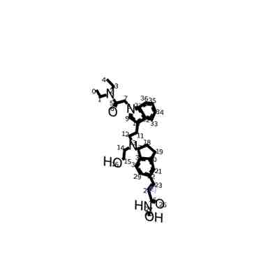 CCN(CC)C(=O)Cn1cc(CCN(CCO)C2CCc3cc(/C=C/C(=O)NO)ccc32)c2ccccc21